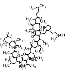 CC[C@@H](C(=O)N(C)[C@H](C)C(=O)N(C)[C@@H](CC(C)C)C(=O)N[C@H](C(=O)N(C)[C@@H](CC(C)C)C(=O)NC(C)C(=O)NC(=O)N(C)[C@@H](CC(C)C)C(=O)NC)C(C)C)N1C(=O)[C@@H]2[C@H](OC(C)[C@H](N(C)C(=O)CCC(C)C)C(=O)N2C)[C@H]1CC1NCCN1CCN(C)C